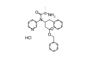 C[C@H](N)C(=O)N(c1cccnc1)C(CC(=O)OCc1ccccc1)Cc1ccccc1.Cl